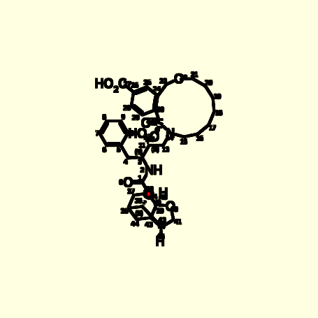 O=C(N[C@@H](Cc1ccccc1)[C@H](O)CN1CCCCCCCOCc2cc(C(=O)O)ccc2S1(=O)=O)O[C@H]1C2CO[C@H]3OC[C@@H]1C3C2